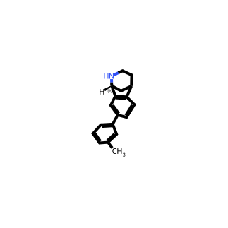 Cc1cccc(-c2ccc3c(c2)[C@H]2CC3CCN2)c1